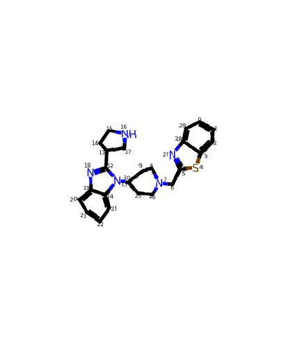 c1ccc2sc(CN3CCC(n4c(C5CCNC5)nc5ccccc54)CC3)nc2c1